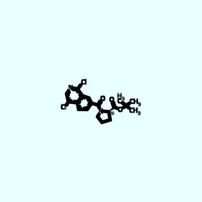 CC(C)(C)OC(=O)[C@@H]1CCCN1C(=O)c1ccc2c(Cl)cnc(Cl)c2c1